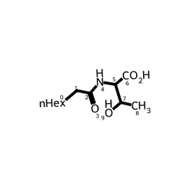 CCCCCCCC(=O)NC(C(=O)O)C(C)O